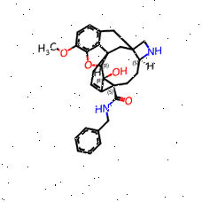 COc1ccc2c3c1O[C@@H]1C34CC=C3[C@@](C(=O)NCc5ccccc5)(CC[C@@H]5NCC5(C2)C4)[C@]31O